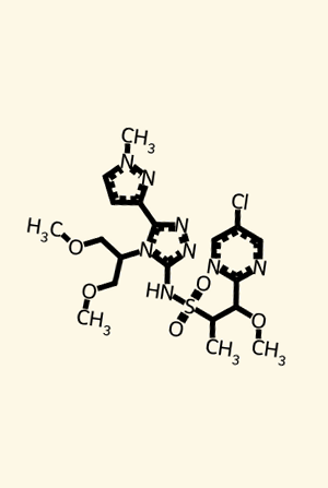 COCC(COC)n1c(NS(=O)(=O)C(C)C(OC)c2ncc(Cl)cn2)nnc1-c1ccn(C)n1